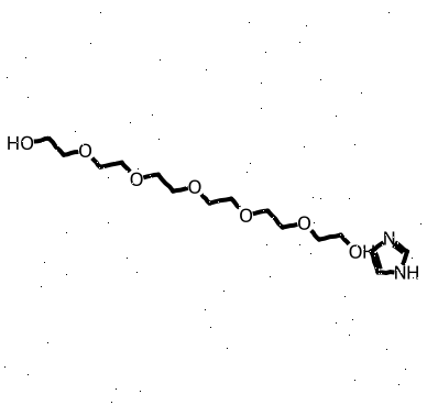 OCCOCCOCCOCCOCCOCCO.c1c[nH]cn1